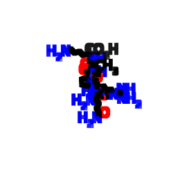 C[C@H](NC(=O)[C@@H]1CCCN1C(=O)[C@H](CCCNC(=N)N)NC(=O)[C@@H](N)CCC(N)=O)C(=O)N[C@@H](CCCCN)C(=O)O